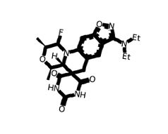 CCN(CC)c1noc2cc3c(cc12)CC1(C(=O)NC(=O)NC1=O)[C@@H]1[C@@H](C)O[C@@H](C)C(F)N31